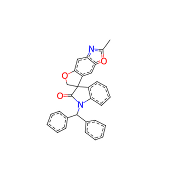 Cc1nc2cc3c(cc2o1)C1(CO3)C(=O)N(C(c2ccccc2)c2ccccc2)c2ccccc21